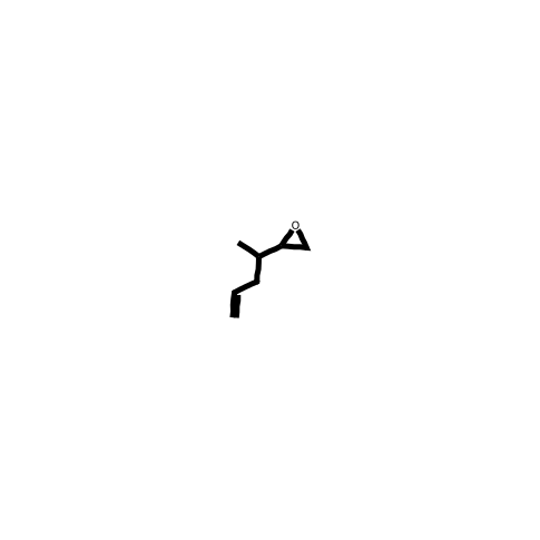 C=CC[C](C)C1CO1